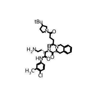 Cc1cc(NC(=O)[C@H](CCN)NC(=O)[C@@H]2Cc3ccccc3CN2C(=O)CCC(=O)N2CCC(C(C)(C)C)C2)ccc1Cl